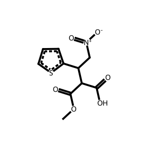 COC(=O)C(C(=O)O)C(C[N+](=O)[O-])c1cccs1